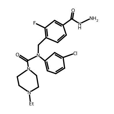 CCN1CCN(C(=O)N(Cc2ccc(C(=O)NN)cc2F)c2cccc(Cl)c2)CC1